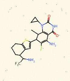 CC1c2c(c(=O)[nH]c(=O)n2C2CC2)C(N)=C(F)C1c1cc2c(s1)CCCC2C(N)C(F)(F)F